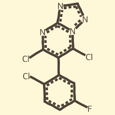 Fc1ccc(Cl)c(-c2c(Cl)nc3ncnn3c2Cl)c1